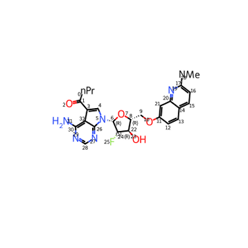 CCCC(=O)c1cn([C@@H]2O[C@H](COc3ccc4ccc(NC)nc4c3)[C@@H](O)[C@@H]2F)c2ncnc(N)c12